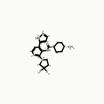 C[C@H]1CC[C@H](C(=O)Nc2c(-c3ccn[nH]3)ccnc2N2CCC(F)(F)C2)CC1